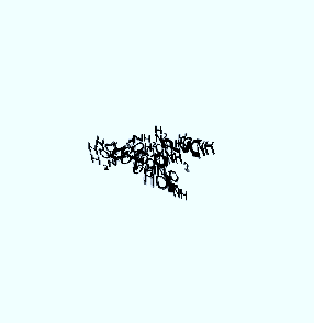 NC[C@@H]1O[C@H](O[C@H]2[C@@H](O)[C@H](O[C@@H]3[C@@H](O)[C@H](NC(=O)C4(O)CNC4)C[C@H](N)[C@H]3O[C@H]3OC(CNCC4(O)CCNCC4)=CC[C@H]3N)O[C@@H]2CO)[C@H](N)[C@@H](O)[C@@H]1O